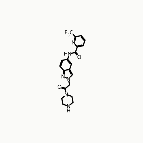 O=C(Nc1ccc2nn(CC(=O)N3CCNCC3)cc2c1)c1cccc(C(F)(F)F)n1